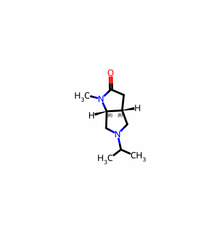 CC(C)N1C[C@H]2CC(=O)N(C)[C@H]2C1